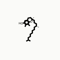 Cc1c(O)cc2c(c1C)O[C@](C)(CCC[C@H](C)CCCCCCCC(C)C)CC2